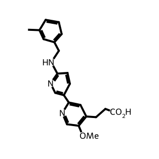 COc1cnc(-c2ccc(NCc3cccc(C)c3)nc2)cc1CCC(=O)O